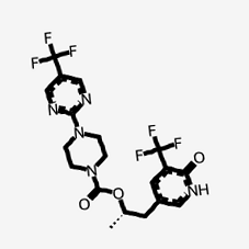 C[C@@H](Cc1c[nH]c(=O)c(C(F)(F)F)c1)OC(=O)N1CCN(c2ncc(C(F)(F)F)cn2)CC1